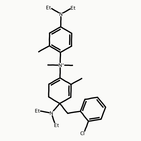 CCN(CC)c1ccc([N+](C)(C)C2=CCC(Cc3ccccc3Cl)(N(CC)CC)C=C2C)c(C)c1